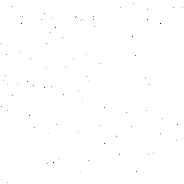 C=C(CCC)P(C1CCCC1)C1CCCC1